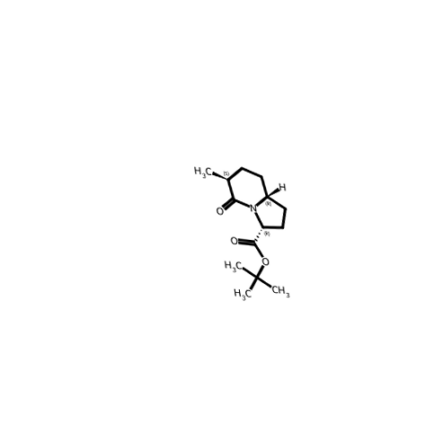 C[C@H]1CC[C@@H]2CC[C@H](C(=O)OC(C)(C)C)N2C1=O